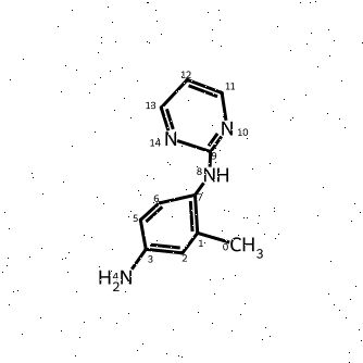 Cc1cc(N)ccc1Nc1ncccn1